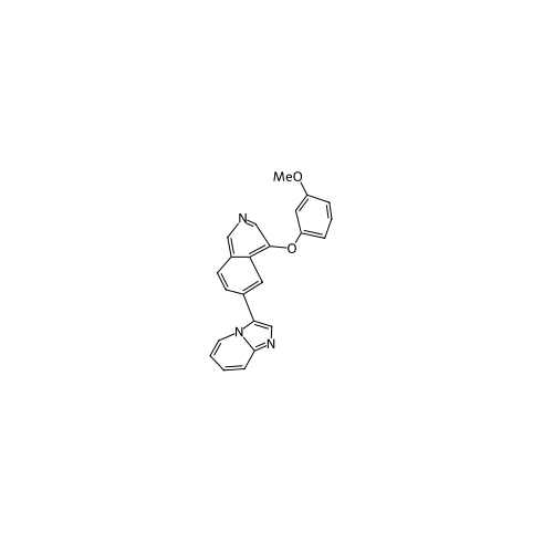 COc1cccc(Oc2cncc3ccc(-c4cnc5ccccn45)cc23)c1